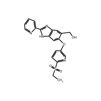 CCS(=O)(=O)c1ccc(Oc2cc3[nH]c(-c4ccccn4)nc3cc2CO)cn1